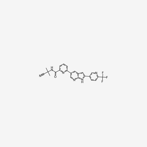 CC(C)(C#N)NC(=O)c1cccc(-c2cnc3[nH]c(-c4ccc(C(F)(F)F)nc4)cc3c2)n1